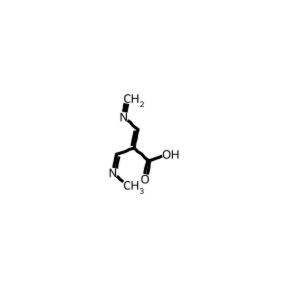 C=N/C=C(\C=N/C)C(=O)O